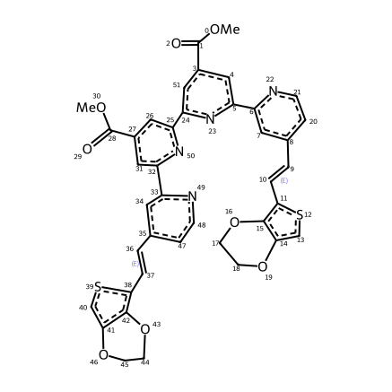 COC(=O)c1cc(-c2cc(/C=C/c3scc4c3OCCO4)ccn2)nc(-c2cc(C(=O)OC)cc(-c3cc(/C=C/c4scc5c4OCCO5)ccn3)n2)c1